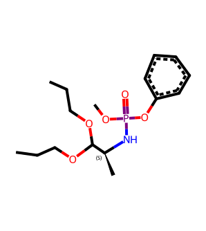 CCCOC(OCCC)[C@H](C)NP(=O)(OC)Oc1ccccc1